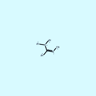 CC(C)C(=NC#N)N(C(C)C)C(C)C